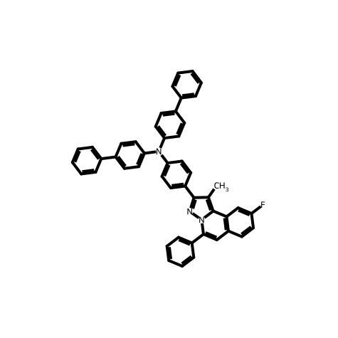 Cc1c(-c2ccc(N(c3ccc(-c4ccccc4)cc3)c3ccc(-c4ccccc4)cc3)cc2)nn2c(-c3ccccc3)cc3ccc(F)cc3c12